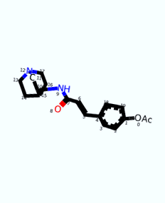 CC(=O)Oc1ccc(C=CC(=O)NC2CN3CCC2CC3)cc1